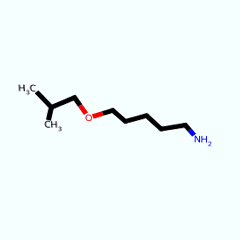 CC(C)COCCCCCN